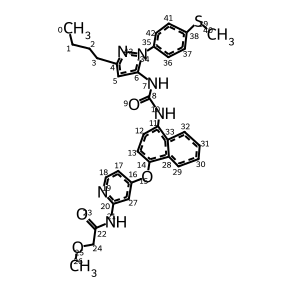 CCCCc1cc(NC(=O)Nc2ccc(Oc3ccnc(NC(=O)COC)c3)c3ccccc23)n(-c2ccc(SC)cc2)n1